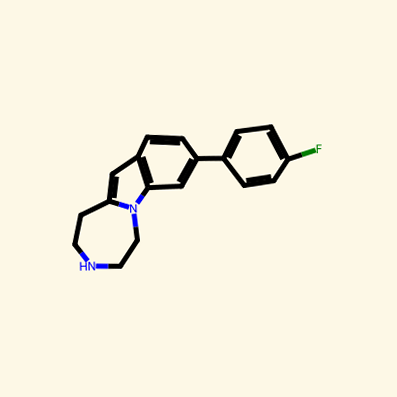 Fc1ccc(-c2ccc3cc4n(c3c2)CCNCC4)cc1